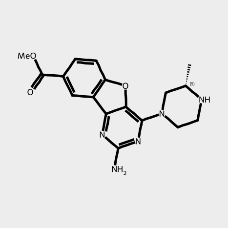 COC(=O)c1ccc2oc3c(N4CCN[C@@H](C)C4)nc(N)nc3c2c1